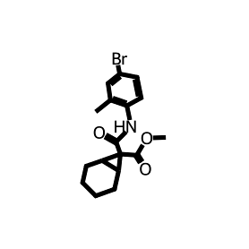 COC(=O)C1(C(=O)Nc2ccc(Br)cc2C)C2CCCCC21